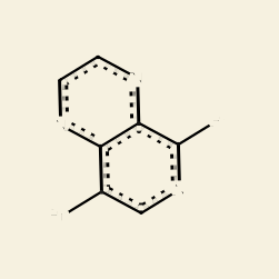 Brc1cnc(Br)c2nccnc12